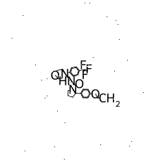 C=COc1ccc(C2CCCN2C(=O)Nc2cc(C(F)(F)F)ccc2N2CCOCC2)cc1